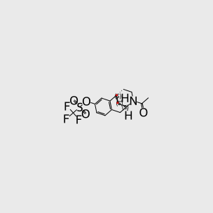 CC(=O)N1CC[C@@]23CCCC[C@@H]2[C@@H]1Cc1ccc(OS(=O)(=O)C(F)(F)F)cc13